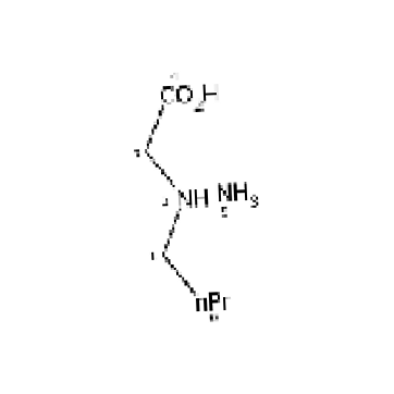 CCCCNCC(=O)O.N